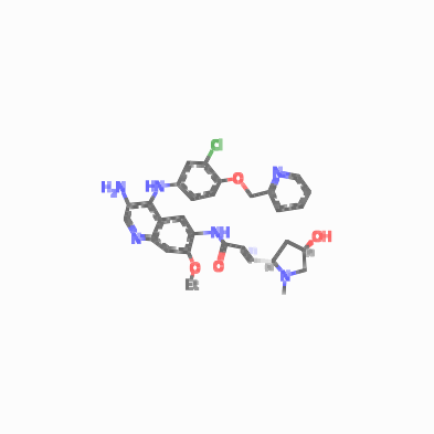 CCOc1cc2ncc(N)c(Nc3ccc(OCc4ccccn4)c(Cl)c3)c2cc1NC(=O)/C=C/[C@@H]1C[C@@H](O)CN1C